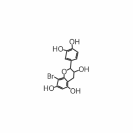 Oc1ccc(C2Oc3c(Br)c(O)cc(O)c3CC2O)cc1O